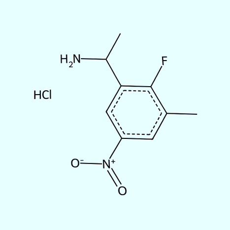 Cc1cc([N+](=O)[O-])cc(C(C)N)c1F.Cl